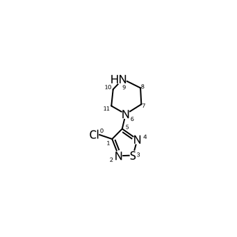 Clc1nsnc1N1CCNCC1